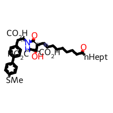 CCCCCCCC(=O)CCCCCC/C=C/[C@H](C(=O)N[C@@H](Cc1ccc(-c2ccc(SC)cc2)cc1)C(=O)O)[C@@](O)(CC(=O)O)C(=O)O